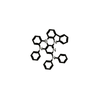 c1ccc(N(c2ccccc2)c2cc3c4c(n2)-n2c5ccccc5c5cccc(c52)B4c2ccccc2N3c2ccccc2)cc1